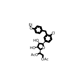 CCOc1ccc(Cc2cc([C@H]3O[C@@H](C(COC(C)=O)OC(C)=O)[C@@H](O)[C@@H]3O)ccc2Cl)cc1